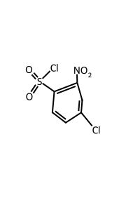 O=[N+]([O-])c1cc(Cl)ccc1S(=O)(=O)Cl